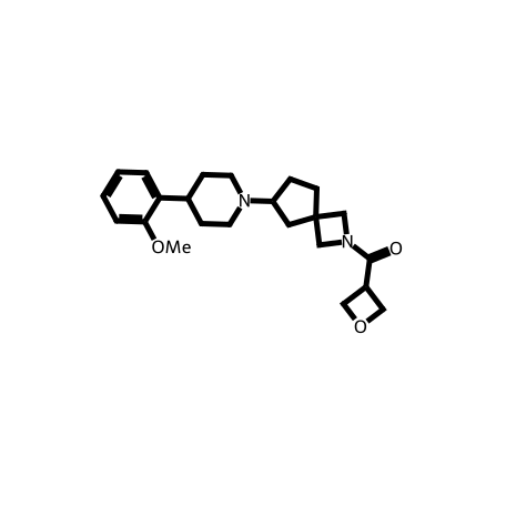 COc1ccccc1C1CCN(C2CCC3(C2)CN(C(=O)C2COC2)C3)CC1